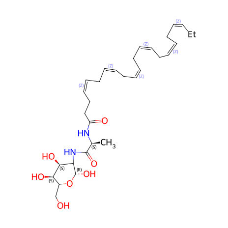 CC/C=C\C/C=C\C/C=C\C/C=C\C/C=C\C/C=C\CCC(=O)N[C@@H](C)C(=O)NC1[C@H](O)OC(CO)[C@@H](O)[C@H]1O